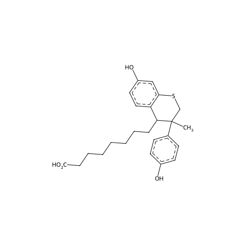 CC1(c2ccc(O)cc2)CSc2cc(O)ccc2C1CCCCCCCC(=O)O